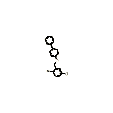 Clc1ccc(Br)c(COc2ccc(-c3[c]cccc3)cc2)c1